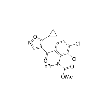 CCCN(C(=O)OC)c1c(C(=O)c2cnoc2C2CC2)ccc(Cl)c1Cl